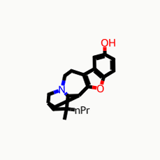 CCCC1(C)CC2CC3c4oc5ccc(O)cc5c4CCN(C2)C31